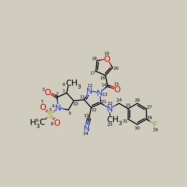 CC1C(=O)N(S(C)(=O)=O)CC1c1nn(C(=O)c2ccoc2)c(N(C)Cc2ccc(F)cc2)c1C#N